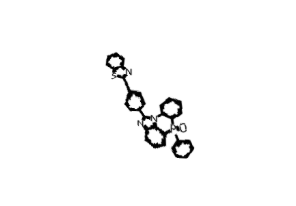 O=P1(c2ccccc2)c2ccccc2-n2c(-c3ccc(-c4nc5ccccc5s4)cc3)nc3cccc1c32